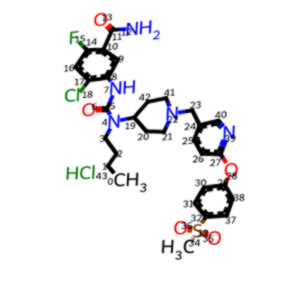 CCCCN(C(=O)Nc1cc(C(N)=O)c(F)cc1Cl)C1CCN(Cc2ccc(Oc3ccc(S(C)(=O)=O)cc3)nc2)CC1.Cl